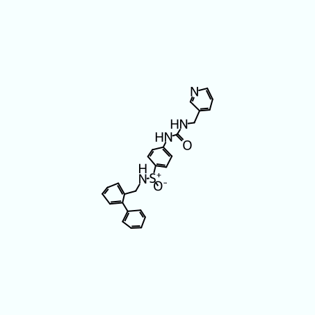 O=C(NCc1cccnc1)Nc1ccc([S+]([O-])NCc2ccccc2-c2ccccc2)cc1